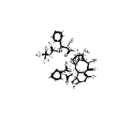 CC(=O)O[C@@]12COC1CC(O)=C1C(=O)[C@H](O)C3=C(C)[C@@H](OC(=O)[C@H](O)C(NC(=O)OC(C)(C)C)c4ccccc4)C[C@@](O)([C@@H](OC(=O)c4ccccc4)C12)C3(C)C